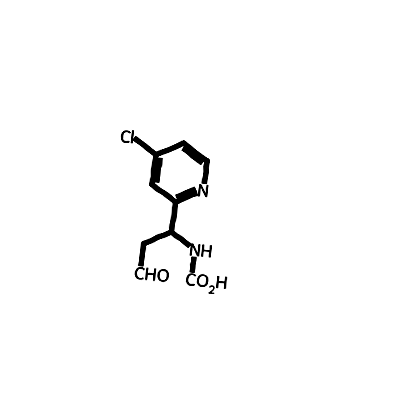 O=CCC(NC(=O)O)c1cc(Cl)ccn1